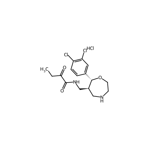 CCC(=O)C(=O)NC[C@@H]1CNCCO[C@H]1c1ccc(Cl)c(Cl)c1.Cl